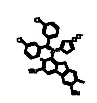 Cc1cc2c(cc1C(C)(C)C)-c1cc(C(C)(C)C)c(C)[c]([Zr+2]([C]3=CC=CC3)=[C](c3cccc(Cl)c3)c3cccc(Cl)c3)c1C2.[Cl-].[Cl-]